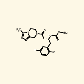 CC(C)(C)OC(=O)N[C@@H](CC(=O)N1CCn2c(nnc2C(F)(F)F)C1)Cc1cc(F)ccc1F